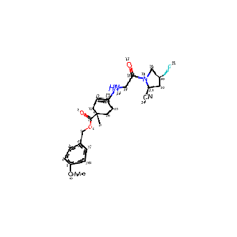 COc1ccc(COC(=O)C2(C)CC=C(NCC(=O)N3C[C@@H](F)C[C@H]3C#N)CC2)cc1